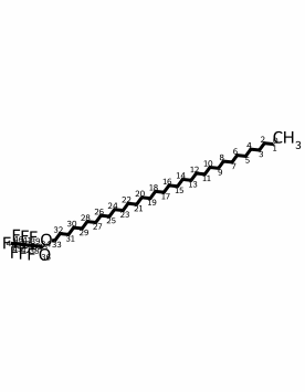 CCCCCCCCCCCCCCCCCCCCCCCCCCCCCCCCCCOC(=O)C(F)(F)C(F)(F)C(F)(F)F